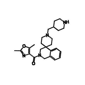 Cc1nc(C(=O)N2Cc3ccccc3C3(CCN(CC4CCNCC4)CC3)C2)c(C)o1